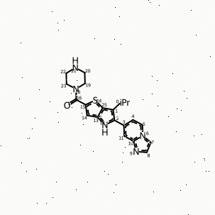 CC(C)c1c(-c2ccn3ccnc3c2)[nH]c2cc(C(=O)N3CCNCC3)sc12